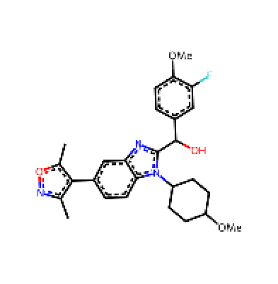 COc1ccc(C(O)c2nc3cc(-c4c(C)noc4C)ccc3n2C2CCC(OC)CC2)cc1F